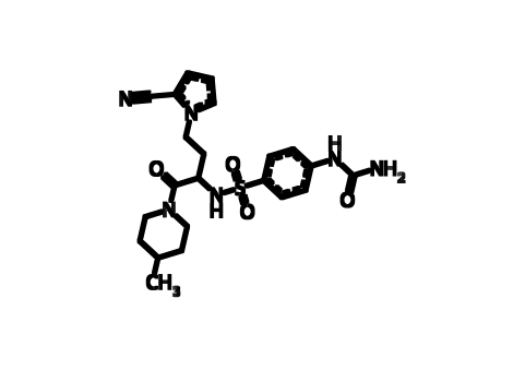 CC1CCN(C(=O)C(CCn2cccc2C#N)NS(=O)(=O)c2ccc(NC(N)=O)cc2)CC1